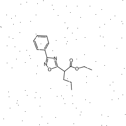 CCCC(C(=O)OCC)c1nc(-c2ccccc2)no1